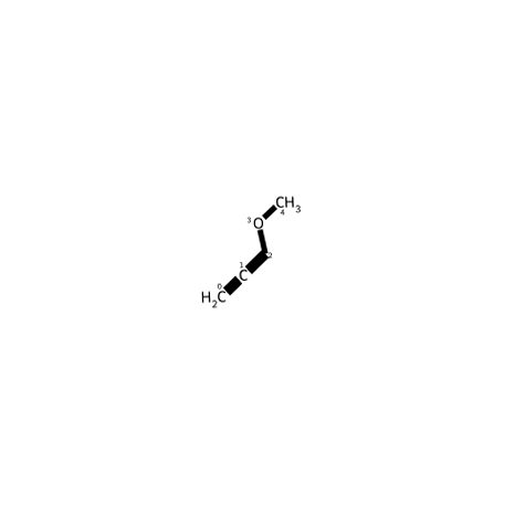 C=C=COC